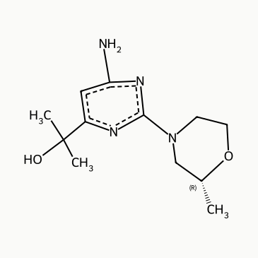 C[C@@H]1CN(c2nc(N)cc(C(C)(C)O)n2)CCO1